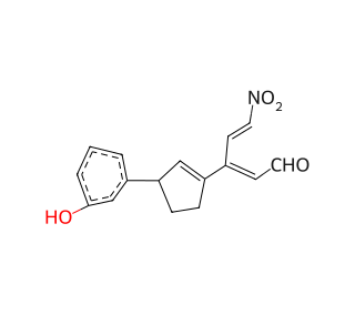 O=C/C=C(\C=C\[N+](=O)[O-])C1=CC(c2cccc(O)c2)CC1